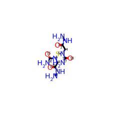 NNC(=O)CN(SN(CC(=O)NN)C(N)=O)C(N)=O